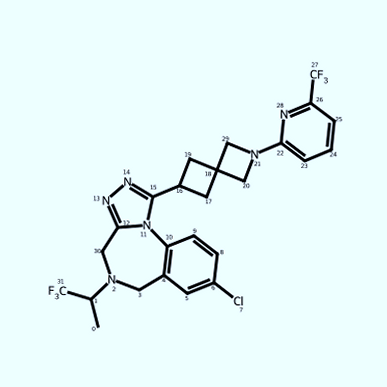 CC(N1Cc2cc(Cl)ccc2-n2c(nnc2C2CC3(C2)CN(c2cccc(C(F)(F)F)n2)C3)C1)C(F)(F)F